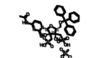 CC(=O)Nc1ccn([C@@H]2O[C@H](COC(c3ccccc3)(c3ccccc3)c3ccccc3)[C@](O)(CS(=O)(=O)O)[C@]2(O)CS(=O)(=O)O)c(=O)n1.CS(=O)(=O)Cl